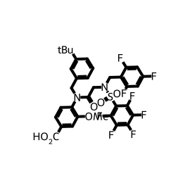 COc1cc(C(=O)O)ccc1N(Cc1cccc(C(C)(C)C)c1)C(=O)CN(Cc1c(F)cc(F)cc1F)S(=O)(=O)c1c(F)c(F)c(F)c(F)c1F